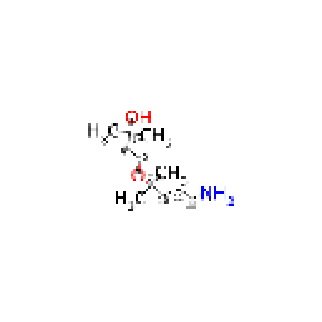 CC(C)(O)CCOC(C)(C)CCCN